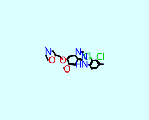 COc1cc2c(Nc3ccc(C)c(Cl)c3Cl)ncnc2cc1OCC1CN(C)CCO1